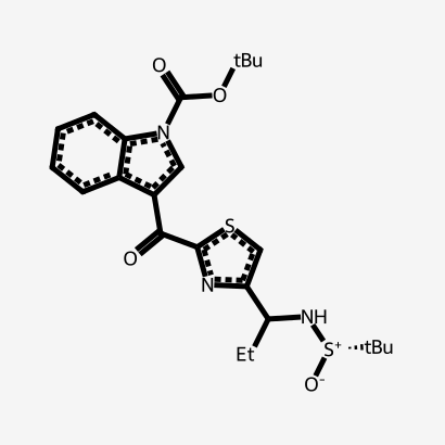 CCC(N[S@@+]([O-])C(C)(C)C)c1csc(C(=O)c2cn(C(=O)OC(C)(C)C)c3ccccc23)n1